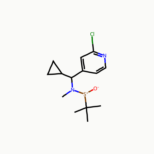 CN(C(c1ccnc(Cl)c1)C1CC1)[S+]([O-])C(C)(C)C